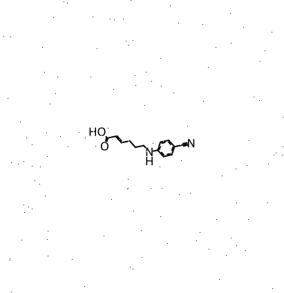 N#Cc1ccc(NCCC/C=C/C(=O)O)cc1